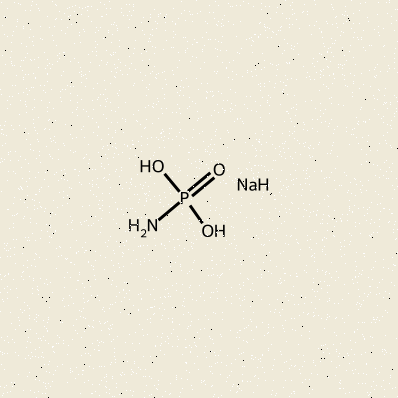 NP(=O)(O)O.[NaH]